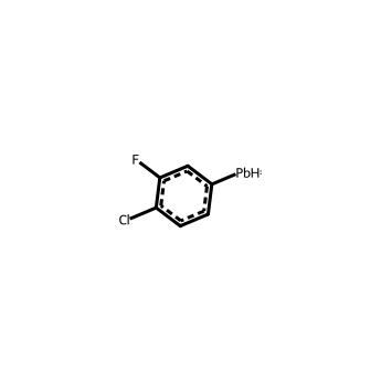 Fc1c[c]([PbH])ccc1Cl